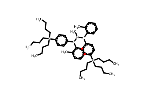 CCCC[Si](CCCC)(CCCC)c1ccc(P(c2ccccc2C)N(C)P(c2ccc([Si](CCCC)(CCCC)CCCC)cc2)c2ccccc2C)cc1